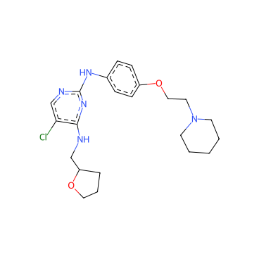 Clc1cnc(Nc2ccc(OCCN3CCCCC3)cc2)nc1NCC1CCCO1